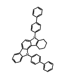 c1ccc(-c2ccc(-n3c4c(c5c3ccc3c6ccccc6n(-c6ccc(-c7ccccc7)cc6)c35)CCCC4)cc2)cc1